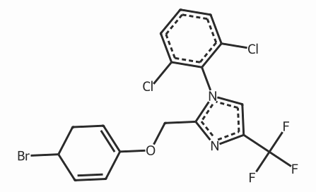 FC(F)(F)c1cn(-c2c(Cl)cccc2Cl)c(COC2=CCC(Br)C=C2)n1